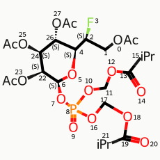 CC(=O)OC[C@H](F)[C@H]1O[C@@H](OP(=O)(OCOC(=O)C(C)C)OCOC(=O)C(C)C)[C@@H](OC(C)=O)[C@@H](OC(C)=O)[C@@H]1OC(C)=O